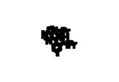 CCCn1ccc2ncnc(C(=N)c3ccc(C)cc3CC(C)C)c21